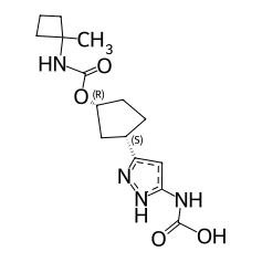 CC1(NC(=O)O[C@@H]2CC[C@H](c3cc(NC(=O)O)[nH]n3)C2)CCC1